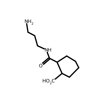 NCCCNC(=O)C1CCCCC1C(=O)O